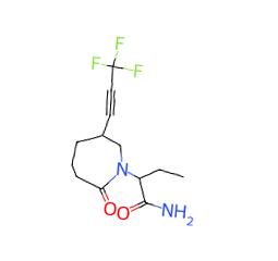 CCC(C(N)=O)N1CC(C#CC(F)(F)F)CCCC1=O